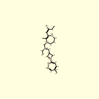 CC/C(F)=C\C1=C(C)N(CN(CC)CC2CN(C3=CC=C(C)C=NS3)C2)CCCO1